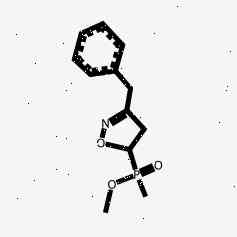 COP(C)(=O)C1CC(Cc2ccccc2)=NO1